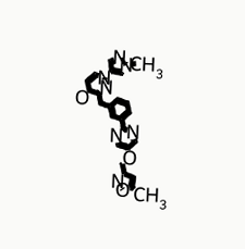 Cc1cc(COc2cnc(-c3cccc(Cc4nn(-c5cnn(C)c5)ccc4=O)c3)nc2)no1